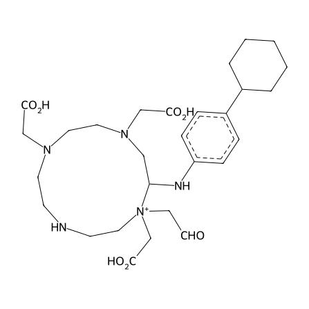 O=CC[N+]1(CC(=O)O)CCNCCN(CC(=O)O)CCN(CC(=O)O)CC1Nc1ccc(C2CCCCC2)cc1